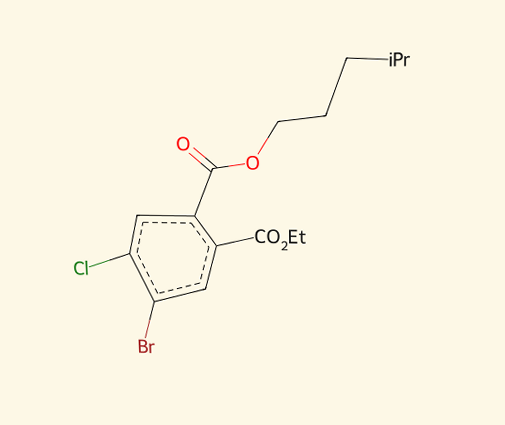 CCOC(=O)c1cc(Br)c(Cl)cc1C(=O)OCCCC(C)C